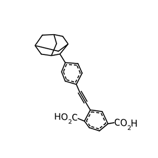 O=C(O)c1ccc(C(=O)O)c(C#Cc2ccc(C3C4CC5CC(C4)CC3C5)cc2)c1